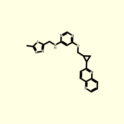 Cc1nnc(CNc2cc(OCC3CC3c3ccc4ncccc4n3)ncn2)s1